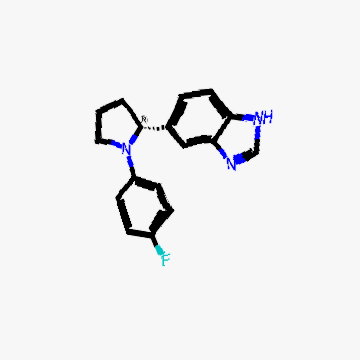 Fc1ccc(N2CCC[C@@H]2c2ccc3[nH]cnc3c2)cc1